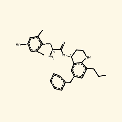 CCCc1cc(Cc2ccccc2)cc2c1NCC[C@H]2NC(=O)[C@@H](N)Cc1c(C)cc(O)cc1C